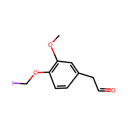 COc1cc(CC=O)ccc1OCI